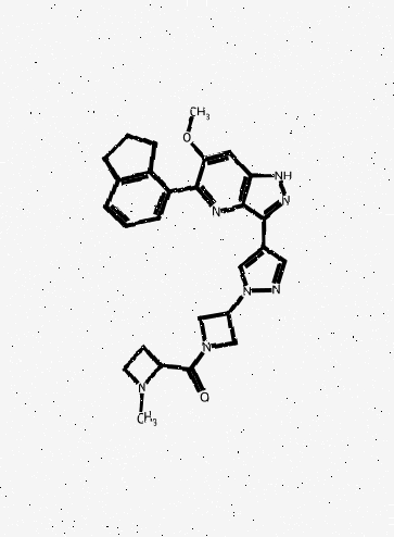 COc1cc2[nH]nc(-c3cnn(C4CN(C(=O)C5CCN5C)C4)c3)c2nc1-c1cccc2c1CCC2